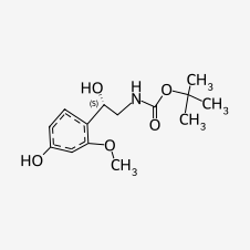 COc1cc(O)ccc1[C@H](O)CNC(=O)OC(C)(C)C